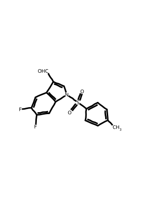 Cc1ccc(S(=O)(=O)n2cc(C=O)c3cc(F)c(F)cc32)cc1